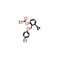 CCC(=O)Oc1cccc(C2CC2)c1COc1ccc(CC)cc1